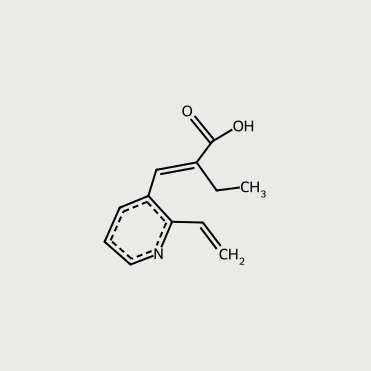 C=Cc1ncccc1C=C(CC)C(=O)O